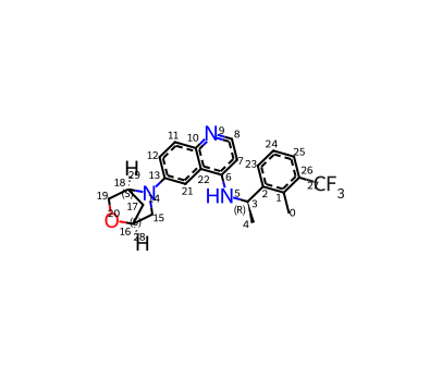 Cc1c([C@@H](C)Nc2ccnc3ccc(N4C[C@@H]5C[C@H]4CO5)cc23)cccc1C(F)(F)F